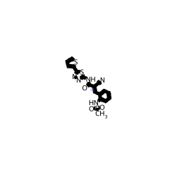 CS(=O)(=O)Nc1ccccc1/C=C(\C#N)C(=O)Nc1nnc(-c2cccs2)s1